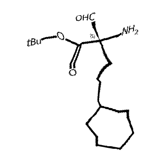 CC(C)(C)OC(=O)[C@@](N)(C=O)CCC1CCCCC1